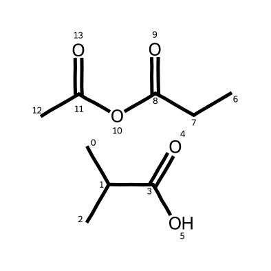 CC(C)C(=O)O.CCC(=O)OC(C)=O